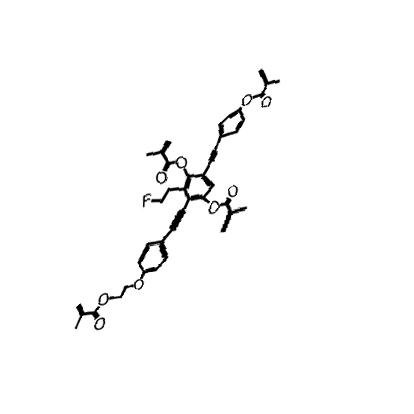 C=C(C)C(=O)OCCOc1ccc(C#Cc2c(OC(=O)C(=C)C)cc(C#Cc3ccc(OC(=O)C(=C)C)cc3)c(OC(=O)C(=C)C)c2CCF)cc1